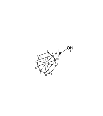 BO.[CH]12[CH]3[CH]4[CH]5[CH]1[Fe]23451678[CH]2[CH]1[CH]6[CH]7[CH]28